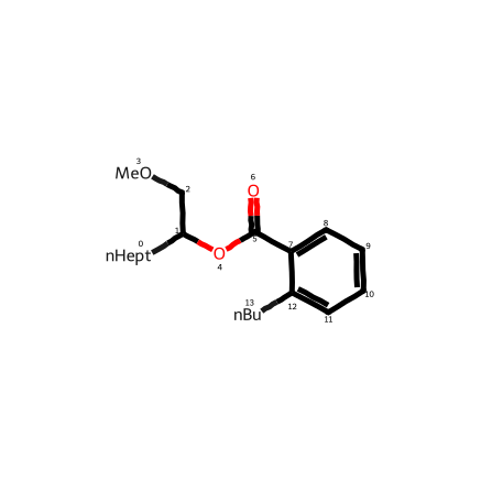 CCCCCCCC(COC)OC(=O)c1ccccc1CCCC